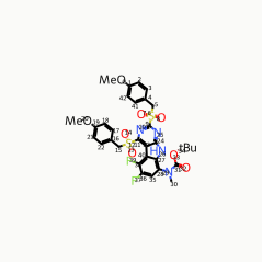 COc1ccc(CS(=O)(=O)c2nc(S(=O)(=O)Cc3ccc(OC)cc3)c3c(n2)[nH]c2c(N(C)C(=O)OC(C)(C)C)cc(F)c(F)c23)cc1